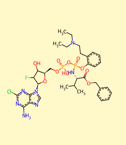 CCN(CC)CCc1ccccc1OP(=O)(N[C@H](C(=O)OCc1ccccc1)C(C)C)OP(=O)(O)OC[C@H]1O[C@@H](n2cnc3c(N)nc(Cl)nc32)C(F)C1O